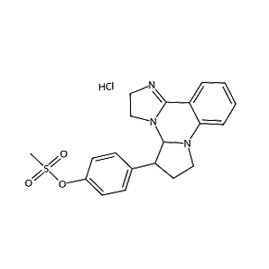 CS(=O)(=O)Oc1ccc(C2CCN3c4ccccc4C4=NCCN4C23)cc1.Cl